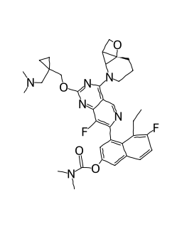 CCc1c(F)ccc2cc(OC(=O)N(C)C)cc(-c3ncc4c(N5CCC[C@]67OCC6C57)nc(OCC5(CN(C)C)CC5)nc4c3F)c12